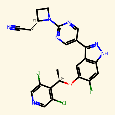 C[C@@H](Oc1cc2c(-c3cnc(N4CC[C@H]4CC#N)nc3)n[nH]c2cc1F)c1c(Cl)cncc1Cl